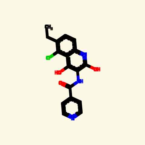 CCc1ccc2nc(O)c(NC(=O)c3ccncc3)c(O)c2c1Cl